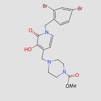 COC(=O)N1CCN(Cc2ccn(Cc3ccc(Br)cc3Br)c(=O)c2O)CC1